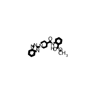 COC(=O)c1ccccc1NC(=O)C1CCN(c2nnc3ccccc3n2)CC1